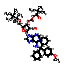 COc1ccc(C(Nc2ncnc3c2ncn3[C@@H]2O[C@H](CO[Si](C)(C)C(C)(C)C)[C@@H](OCOC(=O)C(C)(C)C)[C@H]2O)(c2ccccc2)c2ccccc2)cc1